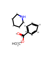 C1CCNCC1.O=C(O)OC(=O)c1ccccc1